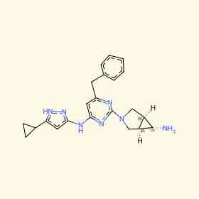 N[C@@H]1[C@H]2CN(c3nc(Cc4ccccc4)cc(Nc4cc(C5CC5)[nH]n4)n3)C[C@@H]12